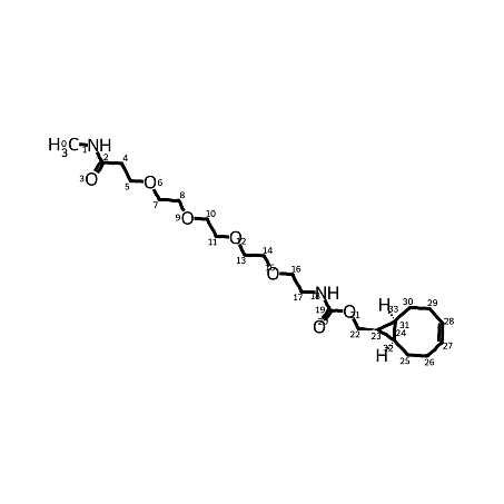 CNC(=O)CCOCCOCCOCCOCCNC(=O)OC[C@@H]1[C@@H]2CC/C=C\CC[C@@H]21